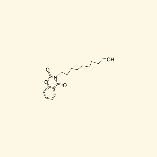 O=c1oc2ccccc2c(=O)n1CCCCCCCCCO